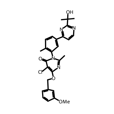 COc1cccc(COc2nc(C)n(-c3cc(-c4ccnc(C(C)(C)O)n4)ccc3C)c(=O)c2Cl)c1